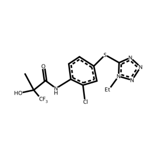 CCn1nnnc1Sc1ccc(NC(=O)C(C)(O)C(F)(F)F)c(Cl)c1